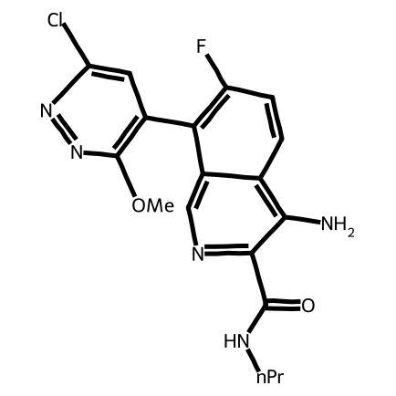 CCCNC(=O)c1ncc2c(-c3cc(Cl)nnc3OC)c(F)ccc2c1N